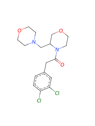 O=C(Cc1ccc(Cl)c(Cl)c1)N1CCOCC1CN1CCOCC1